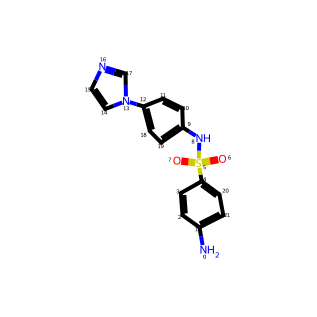 Nc1ccc(S(=O)(=O)Nc2ccc(-n3ccnc3)cc2)cc1